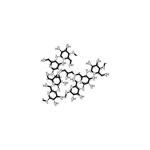 CO[C@@H]1C(CO)O[C@H](O[C@H]2C(CO)O[C@H](O[C@]34OC3[C@H](O)[C@@H](O[C@H]3C(CO)O[C@H](OC)[C@@H](O)C3O)OC4CO)[C@@H](OCC(O)COCC3O[C@H](O[C@H]4C(CO)O[C@H](OC)[C@@H](O)C4O)[C@@H](O)C(O)[C@H]3O[C@H]3OC(CO)[C@H](OC)C(O)[C@@H]3O)C2O)[C@@H](O)C1O